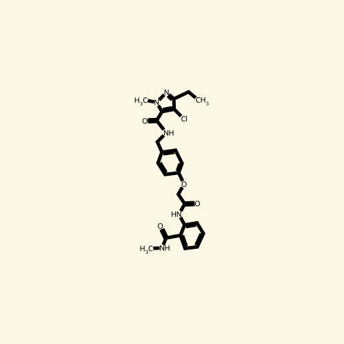 CCc1nn(C)c(C(=O)NCc2ccc(OCC(=O)Nc3ccccc3C(=O)NC)cc2)c1Cl